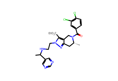 CCOC(=O)c1c2c(nn1CCNC(C)c1cncnc1)C[C@@H](C)N(C(=O)c1ccc(Cl)c(Cl)c1)C2